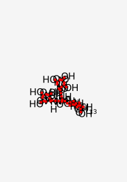 C[C@H](CCC(=O)O)[C@H]1CC[C@H]2[C@@H]3CC[C@@H]4C[C@H](OC(=O)N5C[C@H](C(=O)NCCNC(=O)CN6CCN(CC(=O)O)CCN(CC(=O)O)CCN(CC(=O)O)CC6)[C@@H](C(=O)NCCNC(=O)CN6CCN(CC(=O)O)CCN(CC(=O)O)CCN(CC(=O)O)CC6)C5)CC[C@]4(C)[C@H]3C[C@H](O)[C@]12C